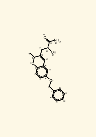 CC1Oc2ccc(OCc3ccccc3)cc2C=C1CN(O)C(N)=O